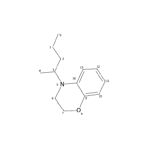 CCCC(C)N1CCOc2ccccc21